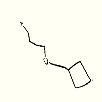 FCCOC1C[CH]C1